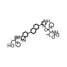 COC(=O)N[C@H](C(=O)N1CCC[C@H]1c1nc(-c2ccc3cc(-c4ccc5[nH]c([C@@H]6CCCN6C(=O)[C@@H](C)[C@@H](C)O)nc5c4)ccc3c2)c[nH]1)C(C)C